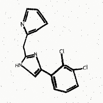 Clc1cccc(-c2c[nH]c(Cc3ccccn3)n2)c1Cl